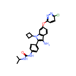 CC(C)NC(=O)Nc1ccc(-c2c(N)c3ccc(Oc4ccc(Cl)nn4)cc3n2C2CCC2)cc1